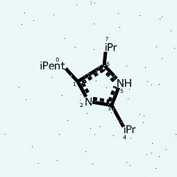 CCCC(C)c1nc(C(C)C)[nH]c1C(C)C